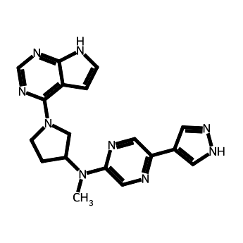 CN(c1cnc(-c2cn[nH]c2)cn1)C1CCN(c2ncnc3[nH]ccc23)C1